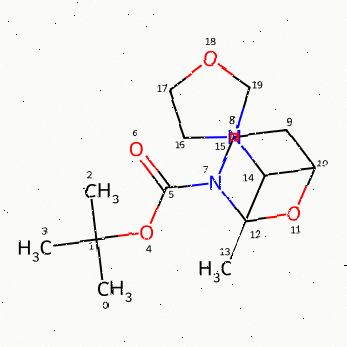 CC(C)(C)OC(=O)N1CCC2OC1(C)C2N1CCOC1